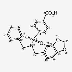 O=C(O)c1ccc(S(=O)(=O)N(Cc2ccccc2)Cc2ccc3c(c2)OCO3)cc1